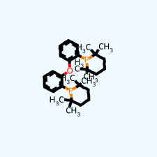 CC1(C)CCCC(C)(C)P1c1ccccc1Oc1ccccc1P1C(C)(C)CCCC1(C)C